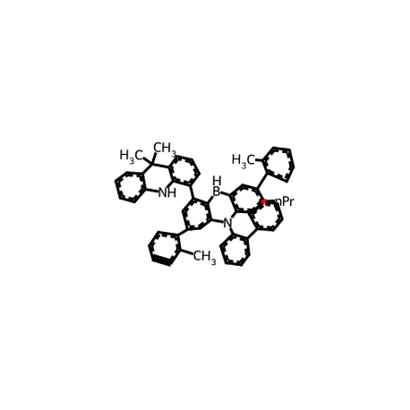 CCCc1cc2c(cc1-c1ccccc1C)Bc1c(-c3cccc4c3Nc3ccccc3C4(C)C)cc(-c3ccc#cc3C)cc1N2c1ccccc1-c1ccccc1